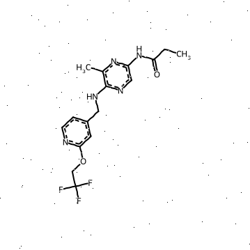 CCC(=O)Nc1cnc(NCc2ccnc(OCC(F)(F)F)c2)c(C)n1